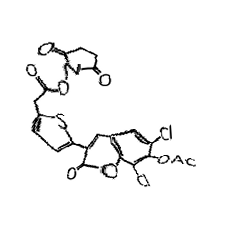 CC(=O)Oc1c(Cl)cc2cc(-c3ccc(CC(=O)ON4C(=O)CCC4=O)s3)c(=O)oc2c1Cl